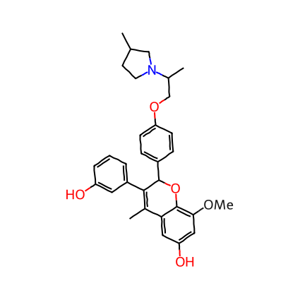 COc1cc(O)cc2c1OC(c1ccc(OCC(C)N3CCC(C)C3)cc1)C(c1cccc(O)c1)=C2C